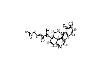 CN(C)C/C=C/C(=O)Nc1ccc2ncnc3c2c1CCN3c1cccc(Cl)c1F